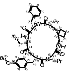 CC(C)C[C@@H]1NC(=O)[C@H](Cc2ccccc2)NC(=O)[C@H](C(C)C)NC2(CCC2)CNC(=O)[C@H](C(C)C)NC(=O)[C@H](Cc2ccc(OC(C)(C)C)cc2)NC1=O